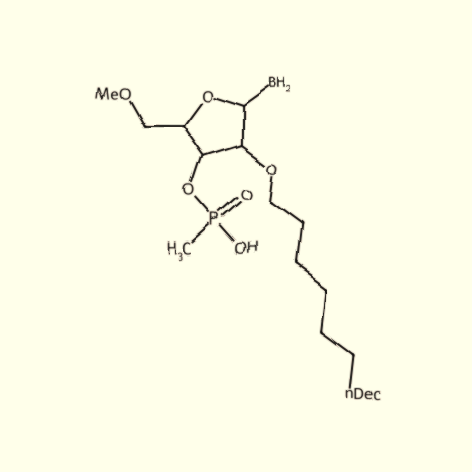 BC1OC(COC)C(OP(C)(=O)O)C1OCCCCCCCCCCCCCCCC